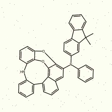 CC1(C)c2ccccc2-c2ccc(N(c3ccccc3)c3cc4cccc5c4c4c3Oc3cccc(c3O4)Nc3ccccc3-5)cc21